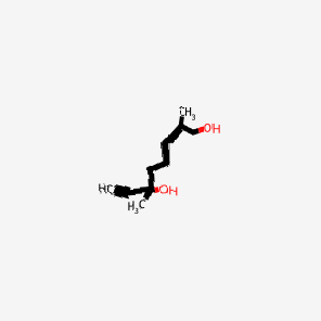 C#CC(C)(O)CCC=C(C)CO